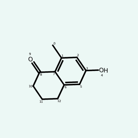 Cc1cc(O)cc2c1C(=O)CCC2